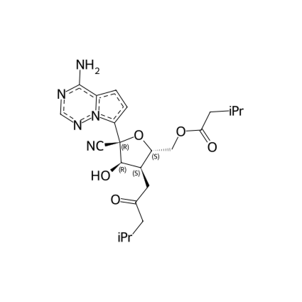 CC(C)CC(=O)C[C@H]1[C@@H](O)[C@](C#N)(c2ccc3c(N)ncnn23)O[C@@H]1COC(=O)CC(C)C